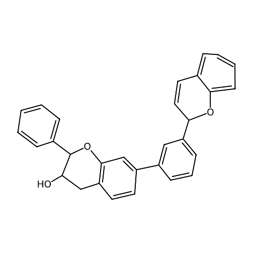 OC1Cc2ccc(-c3cccc(C4C=Cc5ccccc5O4)c3)cc2OC1c1ccccc1